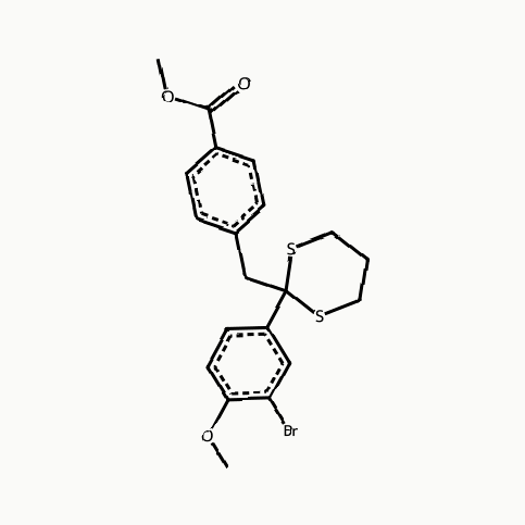 COC(=O)c1ccc(CC2(c3ccc(OC)c(Br)c3)SCCCS2)cc1